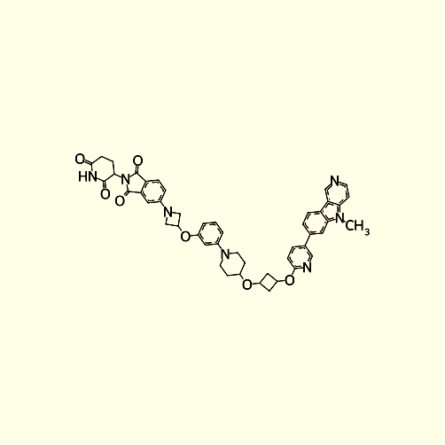 Cn1c2ccncc2c2ccc(-c3ccc(OC4CC(OC5CCN(c6cccc(OC7CN(c8ccc9c(c8)C(=O)N(C8CCC(=O)NC8=O)C9=O)C7)c6)CC5)C4)nc3)cc21